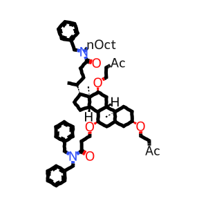 CCCCCCCCN(Cc1ccccc1)C(=O)CCC(C)[C@H]1CC[C@H]2C3[C@H](OCCC(=O)N(Cc4ccccc4)Cc4ccccc4)CC4C[C@H](OCCC(C)=O)CC[C@]4(C)[C@H]3C[C@H](OCCC(C)=O)[C@]12C